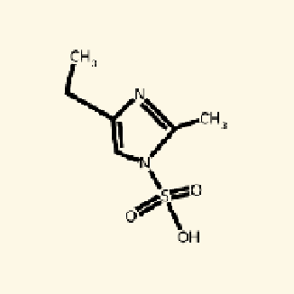 CCc1cn(S(=O)(=O)O)c(C)n1